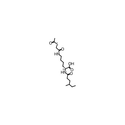 CCC(C)CCC(=O)N[C@@H](CCCCNC(=O)CSC(C)=O)C(=O)O